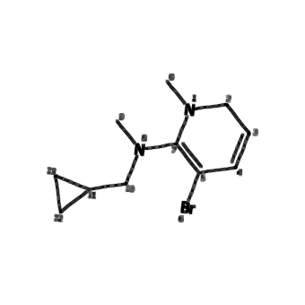 CN1CC=CC(Br)=C1N(C)CC1CC1